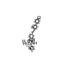 CC(Nc1nc2cc(C#Cc3ccc(-c4ccc(Cl)cc4)cn3)ccc2n1C)c1ccccn1